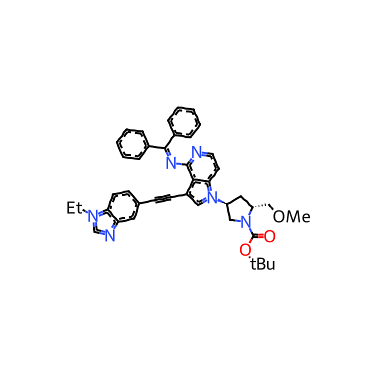 CCn1cnc2cc(C#Cc3cn([C@H]4C[C@H](COC)N(C(=O)OC(C)(C)C)C4)c4ccnc(N=C(c5ccccc5)c5ccccc5)c34)ccc21